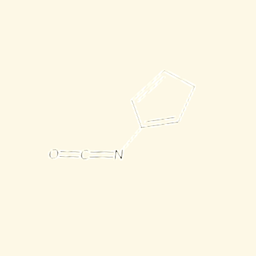 O=C=NC1=CCC=C1